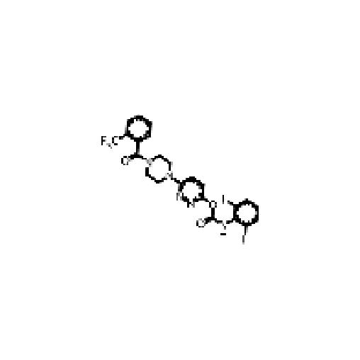 O=C(Nc1c(F)cccc1F)Oc1ccc(N2CCN(C(=O)c3ccccc3C(F)(F)F)CC2)nn1